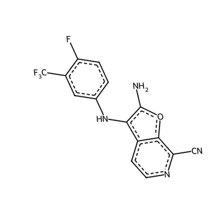 N#Cc1nccc2c(Nc3ccc(F)c(C(F)(F)F)c3)c(N)oc12